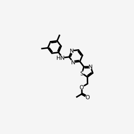 CC(=O)OCc1cnc(-c2ccnc(Nc3cc(C)cc(C)c3)n2)s1